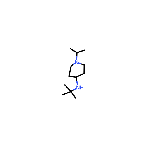 CC(C)N1CCC(NC(C)(C)C)CC1